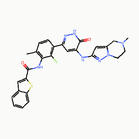 Cc1ccc(-c2cc(Nc3cc4n(n3)CCN(C)C4)c(=O)[nH]n2)c(F)c1NC(=O)c1cc2ccccc2s1